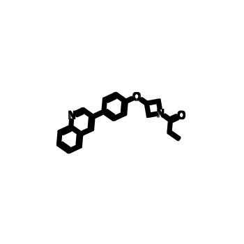 CCC(=O)N1CC(Oc2ccc(-c3cnc4ccccc4c3)cc2)C1